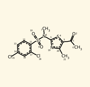 CC(=O)c1sc(N(C)S(=O)(=O)c2ccc(Cl)cc2Cl)nc1C